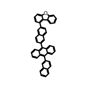 c1ccc2cc(-c3c4ccccc4c(-c4ccc5cc(-c6cccc7oc8ccccc8c67)ccc5c4)c4ccccc34)ccc2c1